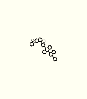 c1ccc(-c2ccc(-c3c4ccccc4c(-c4ccc5c(c4)oc4ccc6cc7oc8ccccc8c7cc6c45)c4ccccc34)c3ccccc23)cc1